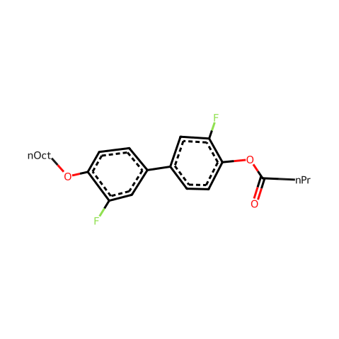 CCCCCCCCOc1ccc(-c2ccc(OC(=O)CCC)c(F)c2)cc1F